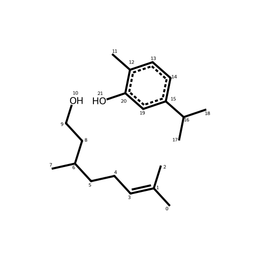 CC(C)=CCCC(C)CCO.Cc1ccc(C(C)C)cc1O